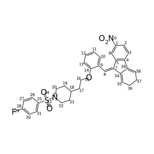 O=[N+]([O-])c1ccc2c(c1)C(=Cc1ccccc1OCCC1CCN(S(=O)(=O)c3ccc(F)cc3)CC1)C1=CCCC=C12